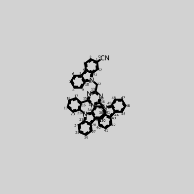 N#Cc1ccc2c3ccccc3n(Cc3nc(-c4ccccc4-n4c5ccccc5c5ccccc54)nc(-n4c5ccccc5c5ccccc54)n3)c2c1